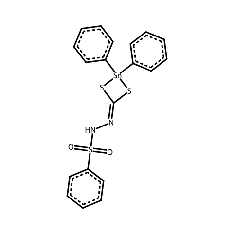 O=S(=O)(NN=C1[S][Sn]([c]2ccccc2)([c]2ccccc2)[S]1)c1ccccc1